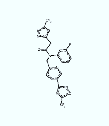 Cc1nnc(CC(=O)N(Cc2ccc(-c3noc(C(F)(F)F)n3)cn2)c2cccc(F)c2)s1